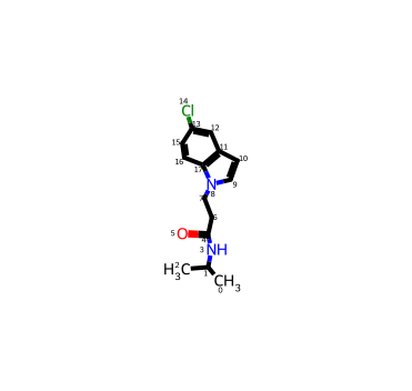 CC(C)NC(=O)CCn1ccc2cc(Cl)ccc21